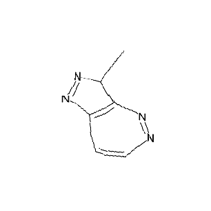 CC1N=Nc2ccnnc21